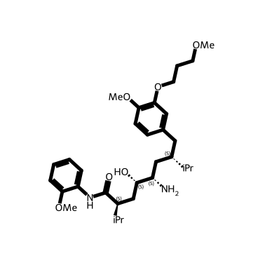 COCCCOc1cc(C[C@@H](C[C@H](N)[C@@H](O)C[C@H](C(=O)Nc2ccccc2OC)C(C)C)C(C)C)ccc1OC